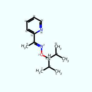 CC(=NO[SiH](C(C)C)C(C)C)c1ccccn1